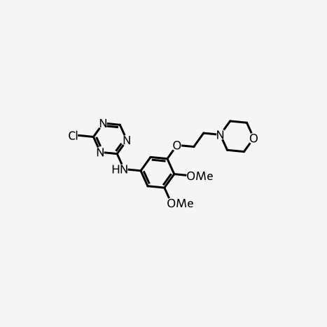 COc1cc(Nc2ncnc(Cl)n2)cc(OCCN2CCOCC2)c1OC